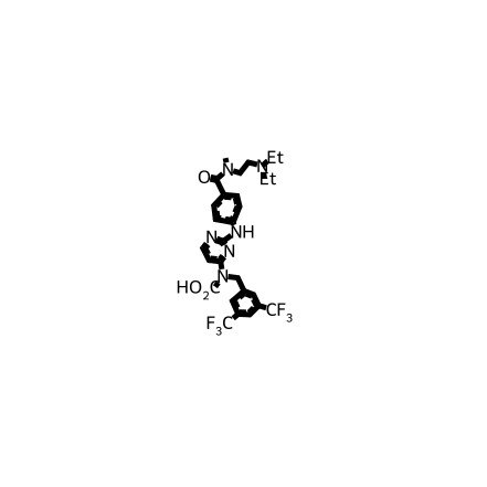 CCN(CC)CCN(C)C(=O)c1ccc(Nc2nccc(N(Cc3cc(C(F)(F)F)cc(C(F)(F)F)c3)C(=O)O)n2)cc1